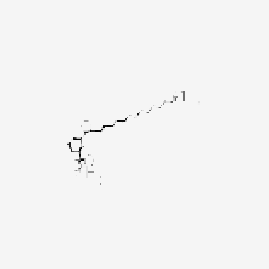 CCCCCCCCCCCC/C=C/C1OC1c1cccc(C(=O)OC)c1